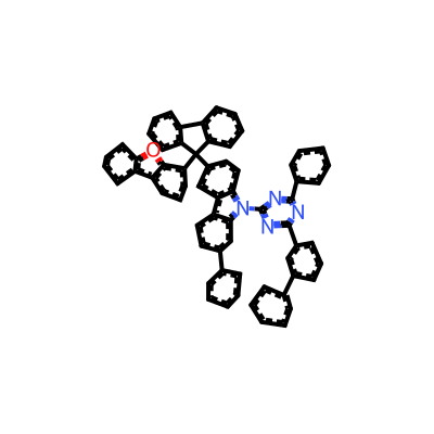 c1ccc(-c2cccc(-c3nc(-c4ccccc4)nc(-n4c5ccc(C6(c7cccc8c7oc7ccccc78)c7ccccc7-c7ccccc76)cc5c5ccc(-c6ccccc6)cc54)n3)c2)cc1